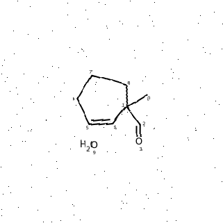 CC1(C=O)C=CCCC1.O